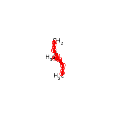 C=CC(=O)OCCOCCOCCOC(=O)C1CCC(C2CCC(C(=O)Oc3ccc(OC(=O)C4CCC(C5CCC(C(=O)OCCOCCOCCOC(=O)C=C)CC5)CC4)c4c(OC(C)=O)cccc34)CC2)CC1